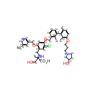 Cc1ccc(OCCCN2CCC(O)C2)c(C)c1-c1cccc(COc2cc(OCc3cncc(C#N)c3)c(CN[C@@](C)(CO)C(=O)O)cc2Cl)c1C